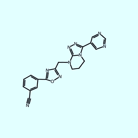 N#Cc1cccc(-c2nc(CN3CCCn4c(-c5cncnc5)nnc43)no2)c1